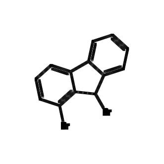 Brc1cccc2c1C(Br)c1ccccc1-2